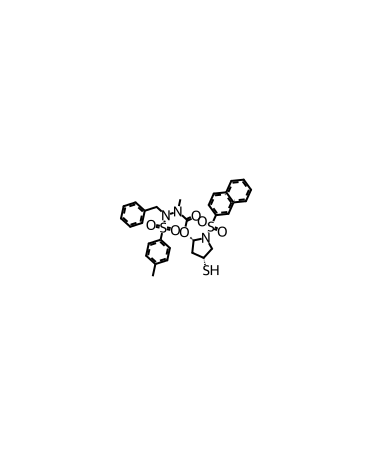 Cc1ccc(S(=O)(=O)N(Cc2ccccc2)N(C)C(=O)O[C@H]2C[C@@H](S)CN2S(=O)(=O)c2ccc3ccccc3c2)cc1